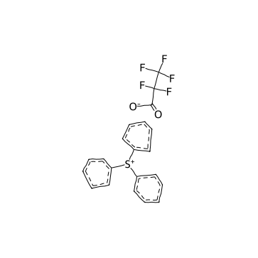 O=C([O-])C(F)(F)C(F)(F)F.c1ccc([S+](c2ccccc2)c2ccccc2)cc1